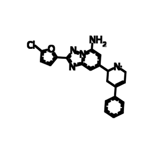 Nc1cc(C2CC(c3ccccc3)=CC[N]2)cc2nc(-c3ccc(Cl)o3)nn12